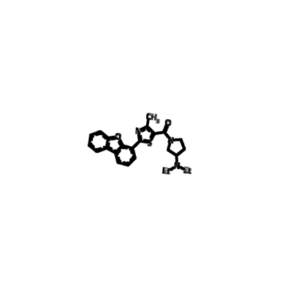 CCN(CC)C1CCN(C(=O)c2sc(-c3cccc4c3oc3ccccc34)nc2C)C1